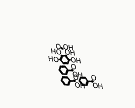 O=C(O)c1ccccc1.O=C(O)c1ccccc1.O=C(O)c1ccccc1.O=CO.Oc1ccc(O)c(O)c1O